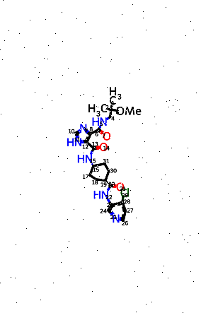 COC(C)(C)CNC(=O)c1nc[nH]c1C(=O)N[C@H]1CC[C@H](C(=O)Nc2cnccc2Cl)CC1